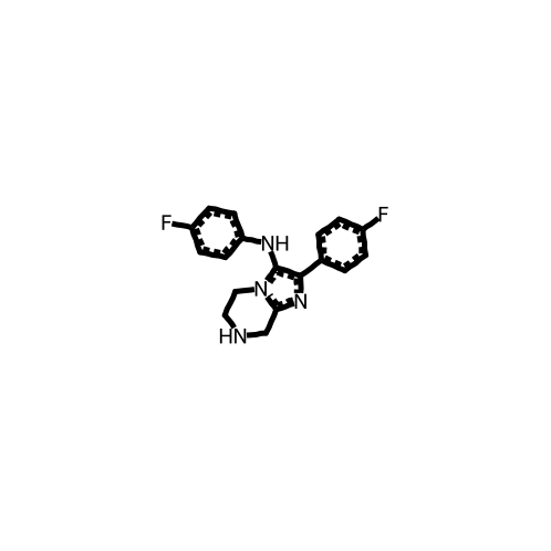 Fc1ccc(Nc2c(-c3ccc(F)cc3)nc3n2CCNC3)cc1